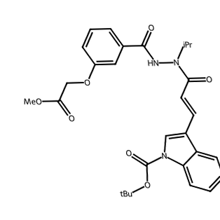 COC(=O)COc1cccc(C(=O)NN(C(=O)C=Cc2cn(C(=O)OC(C)(C)C)c3ccccc23)C(C)C)c1